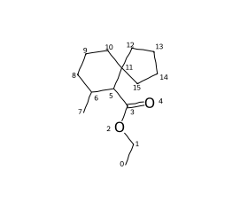 CCOC(=O)C1C(C)CCCC12CCCC2